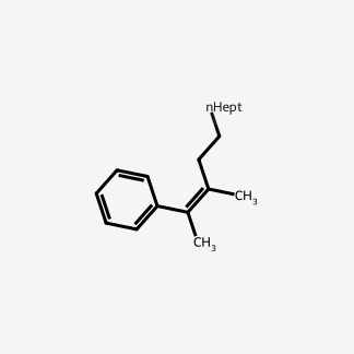 CCCCCCCCCC(C)=C(C)c1ccccc1